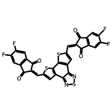 O=C1C(=Cc2cc3c4nsnc4c4cc(C=C5C(=O)c6cc(F)c(F)cc6C5=O)sc4c3s2)C(=O)c2cc(F)c(F)cc21